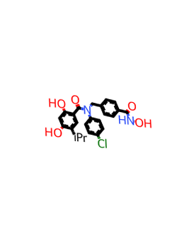 CC(C)c1cc(C(=O)N(Cc2ccc(C(=O)NO)cc2)c2ccc(Cl)cc2)c(O)cc1O